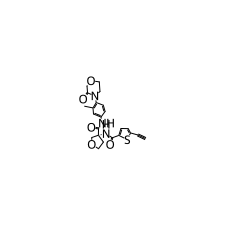 C#Cc1ccc(C(=O)N[C@]2(C(=O)Nc3ccc(N4CCOCC4=O)c(C)c3)CCOC2)s1